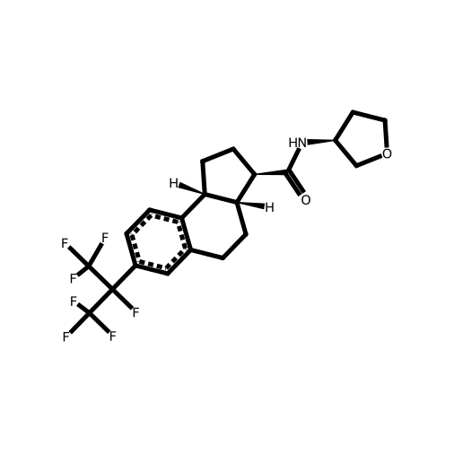 O=C(N[C@H]1CCOC1)[C@@H]1CC[C@H]2c3ccc(C(F)(C(F)(F)F)C(F)(F)F)cc3CC[C@@H]12